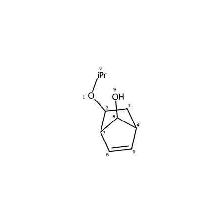 CC(C)OC1CC2C=CC1C2O